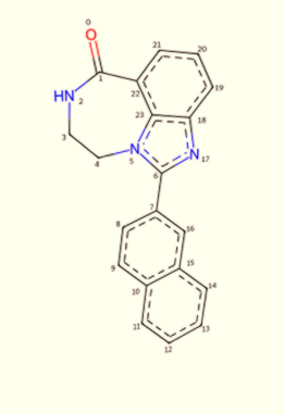 O=C1NCCn2c(-c3ccc4ccccc4c3)nc3cccc1c32